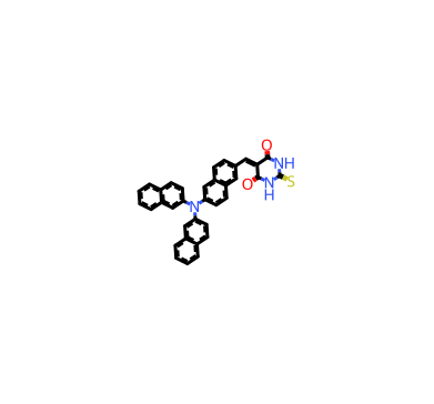 O=C1NC(=S)NC(=O)C1=Cc1ccc2cc(N(c3ccc4ccccc4c3)c3ccc4ccccc4c3)ccc2c1